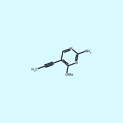 CC#Cc1cnc(N)nc1OC